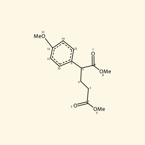 COC(=O)CCC(C(=O)OC)c1ccc(OC)cc1